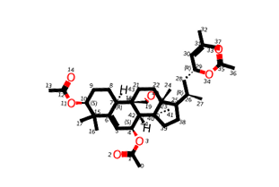 CC(=O)O[C@H]1C=C2[C@@H](CC[C@H](OC(C)=O)C2(C)C)[C@]2(C=O)CC[C@]3(C)C([C@H](C)C[C@H](C=C(C)C)OC(C)=O)CC[C@@]3(C)[C@H]12